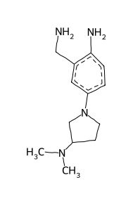 CN(C)C1CCN(c2ccc(N)c(CN)c2)C1